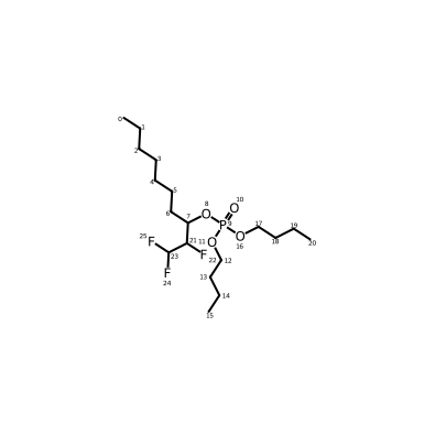 CCCCCCCC(OP(=O)(OCCCC)OCCCC)C(F)C(F)F